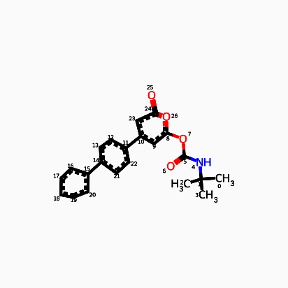 CC(C)(C)NC(=O)Oc1cc(-c2ccc(-c3ccccc3)cc2)cc(=O)o1